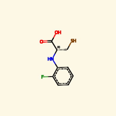 O=C(O)[C@H](CS)Nc1ccccc1F